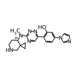 CN(c1ncc(-c2ccc(-n3ccnc3)cc2O)nn1)[C@@H]1CCNCC12CC2